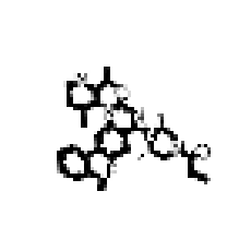 C=CC(=O)N1C[C@H](C)N(c2nc(=O)n(-c3c(C)ccnc3C(C)C)c3cc(-c4ccccc4C=C)c(F)cc23)[C@@H](C)C1